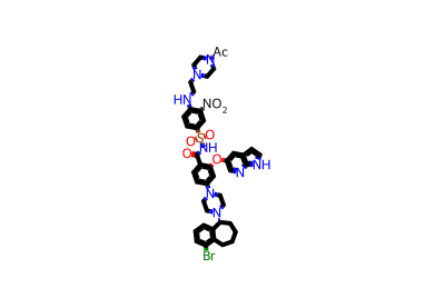 CC(=O)N1CCN(CCNc2ccc(S(=O)(=O)NC(=O)c3ccc(N4CCN([C@@H]5CCCCc6c(Br)cccc65)CC4)cc3Oc3cnc4[nH]ccc4c3)cc2[N+](=O)[O-])CC1